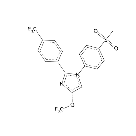 CS(=O)(=O)c1ccc(-n2cc(OC(F)(F)F)nc2-c2ccc(C(F)(F)F)cc2)cc1